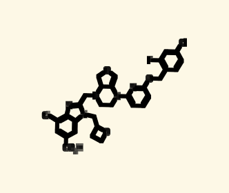 O=C(O)c1cc(Cl)c2nc(CN3CCN(c4cccc(OCc5ccc(Cl)cc5F)n4)C4=COCC43)n(CC3CCO3)c2c1